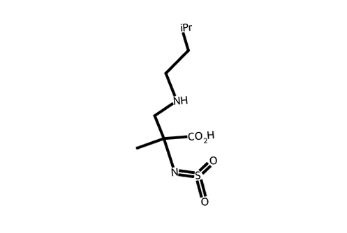 CC(C)CCNCC(C)(N=S(=O)=O)C(=O)O